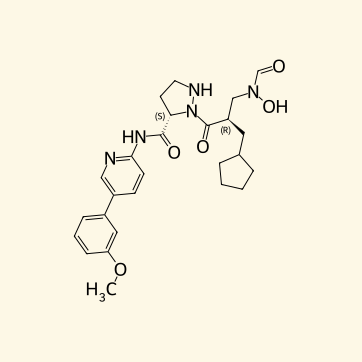 COc1cccc(-c2ccc(NC(=O)[C@@H]3CCNN3C(=O)[C@H](CC3CCCC3)CN(O)C=O)nc2)c1